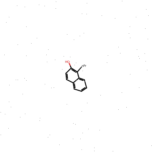 [CH2]CCc1c(O)ccc2ccccc12